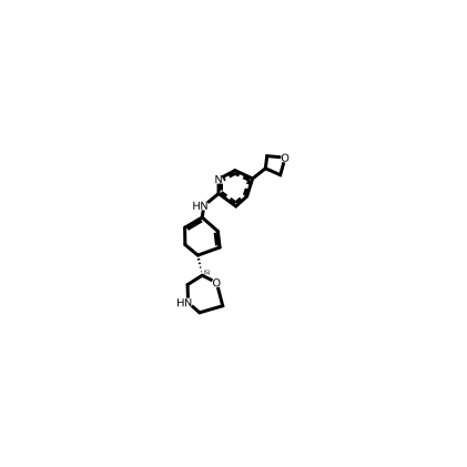 C1=CC([C@H]2CNCCO2)CC=C1Nc1ccc(C2COC2)cn1